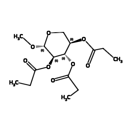 CCC(=O)O[C@@H]1[C@@H](OC(=O)CC)[C@H](OC)OC[C@H]1OC(=O)CC